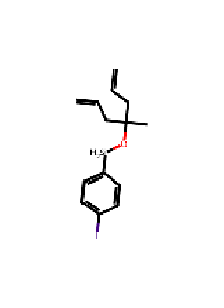 C=CCC(C)(CC=C)O[SiH2]c1ccc(I)cc1